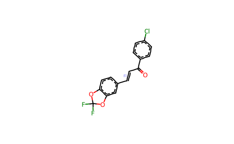 O=C(/C=C/c1ccc2c(c1)OC(F)(F)O2)c1ccc(Cl)cc1